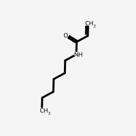 C=CC(=O)NCCCCCC